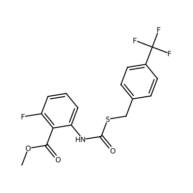 COC(=O)c1c(F)cccc1NC(=O)SCc1ccc(C(F)(F)F)cc1